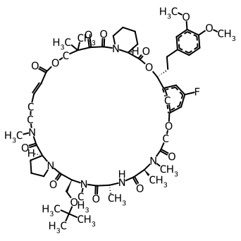 COc1ccc(CC[C@H]2OC(=O)[C@@H]3CCCCN3C(=O)C(=O)C(C)(C)COC(=O)/C=C/CCN(C)C(=O)[C@@H]3CCCN3C(=O)[C@H](COC(C)(C)C)N(C)C(=O)[C@@H](C)NC(=O)[C@H](C)N(C)C(=O)COc3cc(F)cc2c3)cc1OC